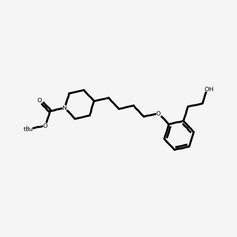 CC(C)(C)OC(=O)N1CCC(CCCCOc2ccccc2CCO)CC1